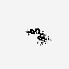 Cn1c(=O)c2c(C(C(N)=O)c3cccc(-c4ccc(C(F)(F)F)cc4)n3)cccc2n(C)c1=O